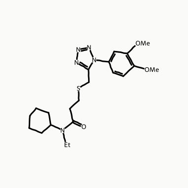 CCN(C(=O)CCSCc1nnnn1-c1ccc(OC)c(OC)c1)C1CCCCC1